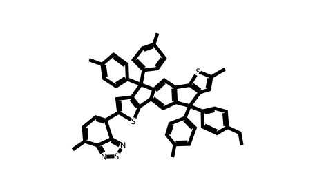 CCc1ccc(C2(c3ccc(C)cc3)c3cc4c(cc3-c3sc(C)cc32)C(c2ccc(C)cc2)(c2ccc(C)cc2)c2cc(-c3ccc(C)c5nsnc35)sc2-4)cc1